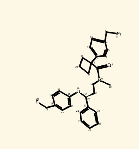 CC(C)Cc1ccc(C2(C(=O)N(C)CC[C@H](Oc3ccc(CF)cc3)c3ccccc3)CCC2)cc1